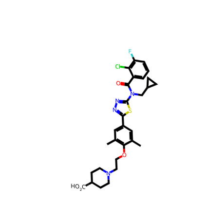 Cc1cc(-c2nnc(N(CC3CC3)C(=O)c3cccc(F)c3Cl)s2)cc(C)c1OCCN1CCC(C(=O)O)CC1